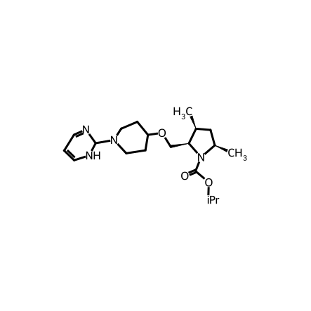 CC(C)OC(=O)N1[C@H](C)C[C@H](C)[C@@H]1COC1CCN(C2N=CC=CN2)CC1